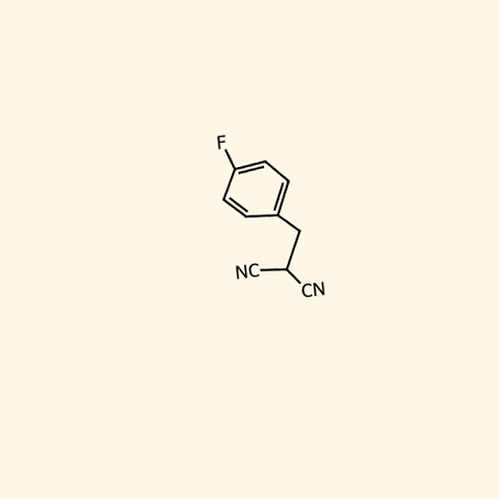 N#CC(C#N)Cc1ccc(F)cc1